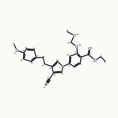 CCOC(=O)c1ccc(-n2cc(C#N)c(CCc3ccc(OC)cc3)c2)cc1OCOC